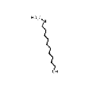 O=C(O)NCCCCCCCCCCO